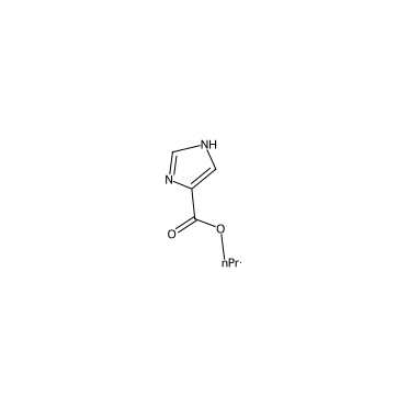 CC[CH]OC(=O)c1c[nH]cn1